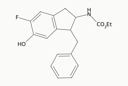 CCOC(=O)NC1Cc2cc(F)c(O)cc2C1Cc1ccccc1